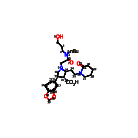 CCCCN(CCCO)C(=O)CN1C[C@H](c2ccc3c(c2)OCO3)[C@@H](C(=O)O)[C@@H]1CCN1CCCCC1=O